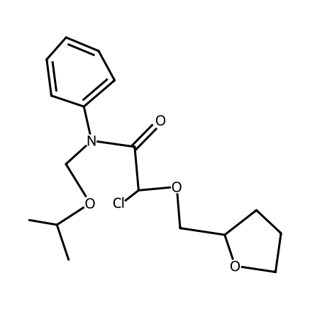 CC(C)OCN(C(=O)C(Cl)OCC1CCCO1)c1ccccc1